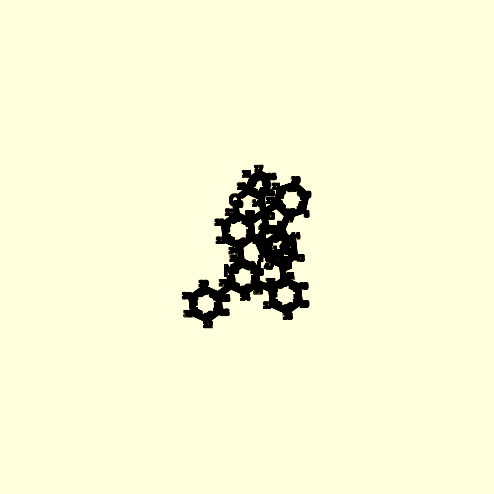 Clc1ccc2c(c1)-c1ccccc1C21c2ccccc2Oc2ccc(-c3nc(-c4ccccc4)cc(-c4ccccc4-c4ccccc4)n3)cc21